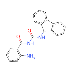 Nc1ccccc1C(=O)NC(=O)NC1c2ccccc2-c2ccccc21